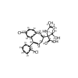 CC(=O)NC(C(=O)O)(C(=O)O)C1=Nc2ccc(Cl)cc2C(c2ccccc2Cl)=NC1